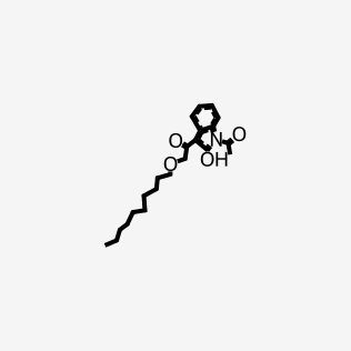 CCCCCCCCCCOCC(=O)c1c(O)n(C(C)=O)c2ccccc12